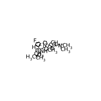 CCN(CC)CCOC(=O)C(CC)(CC)[C@H]1CC[C@@H](c2cccc(F)c2)N1C(=O)[C@@H](C)NC(=O)OC(C)(C)C